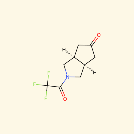 O=C1C[C@@H]2CN(C(=O)C(F)(F)F)C[C@@H]2C1